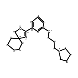 c1cc(OCCCN2CCCC2)cc(C2=NC3(CCCCC3)CO2)c1